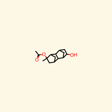 CC(=O)OC1(C)CC2CC1C1C3CC(O)C(C3)C21